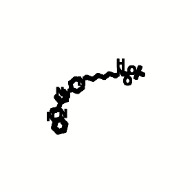 CC(C)(C)OC(=O)NCCCCCCN1CCC(n2cc(-c3cnc4ccccc4n3)cn2)CC1